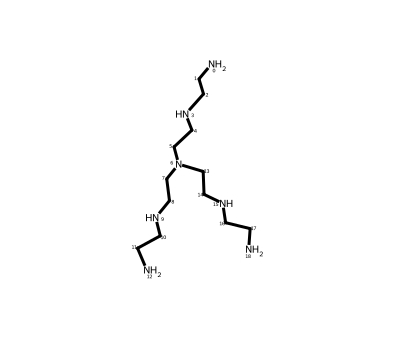 NCCNCCN(CCNCCN)CCNCCN